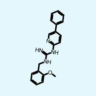 COc1ccccc1CNC(=N)Nc1ccc(-c2ccccc2)cn1